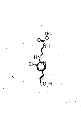 CC(C)(C)OC(=O)NCCNc1ncc(/C=C/C(=O)O)cc1Cl